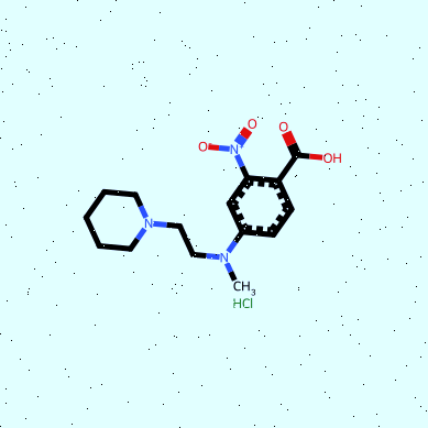 CN(CCN1CCCCC1)c1ccc(C(=O)O)c([N+](=O)[O-])c1.Cl